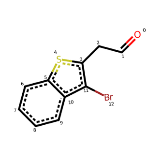 O=CCc1sc2ccccc2c1Br